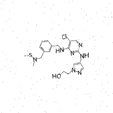 CSN(C)Cc1cccc(CNc2nc(Nc3cnn(CCO)c3)ncc2Cl)c1